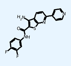 Nc1c(C(=O)Nc2ccc(F)c(F)c2)sc2nc(-c3ccncc3)ccc12